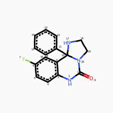 O=C1Nc2ccc(F)cc2C2(c3ccccc3)NCCN12